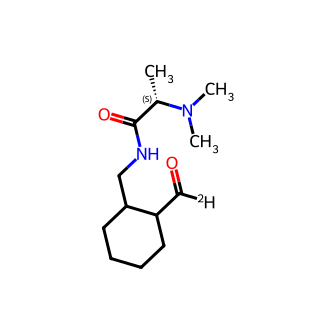 [2H]C(=O)C1CCCCC1CNC(=O)[C@H](C)N(C)C